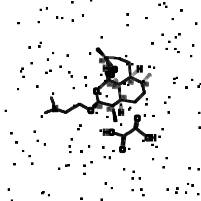 C[C@H]1[C@@H](OCCN(C)C)O[C@@H]2O[C@@]3(C)CC[C@H]4[C@H](C)CC[C@@H]1[C@@]24OO3.O=C(O)C(=O)O